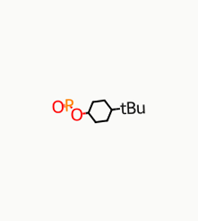 CC(C)(C)C1CCC(OP=O)CC1